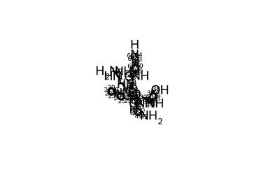 N=C(N)NCCCC[C@H](NC(=O)[C@H](Cc1ccc(-c2ccccc2)cc1)NC(=O)[C@H](Cc1c[nH]c2ccc(O)cc12)NC(=O)[C@H]1CCC[C@H](N)C1)C(=O)NCC(=O)Nc1ccc(N2CCNCC2)cc1